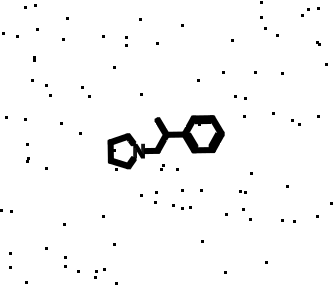 CC(CN1CCCC1)c1ccccc1